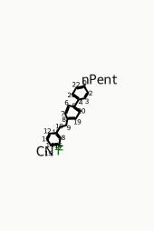 CCCCCc1ccc(-c2ccc(CCc3ccc(C#N)c(F)c3)cc2)cc1